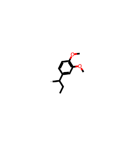 [CH2]C(CC)c1ccc(OC)c(OC)c1